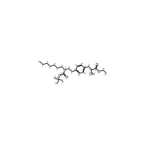 CCCCCCCN(CCc1ccc(CC(O)C(=O)OCC)cc1)C(=O)OC(C)(C)C